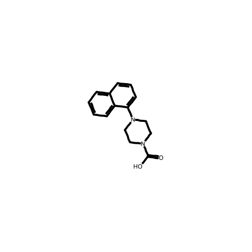 O=C(O)N1CCN(c2cccc3ccccc23)CC1